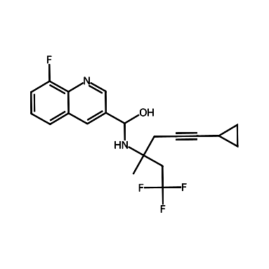 CC(CC#CC1CC1)(CC(F)(F)F)NC(O)c1cnc2c(F)cccc2c1